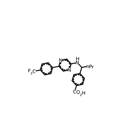 CCCC(Nc1cnc(-c2ccc(C(F)(F)F)cc2)cn1)c1ccc(C(=O)O)cc1